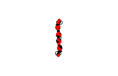 C=CC(=O)OCCc1ccc(C#Cc2ccc(COc3ccc(C#Cc4ccc(CCOC(=O)C=C)cc4)cc3C)cc2)cc1